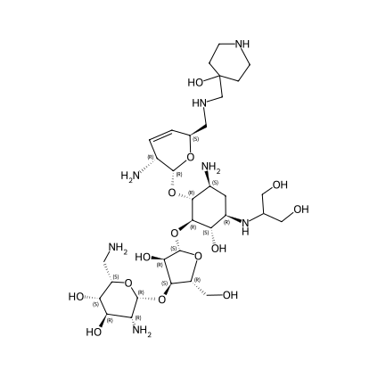 NC[C@@H]1O[C@H](O[C@H]2[C@@H](O)[C@H](O[C@@H]3[C@@H](O)[C@H](NC(CO)CO)C[C@H](N)[C@H]3O[C@H]3O[C@H](CNCC4(O)CCNCC4)C=C[C@H]3N)O[C@@H]2CO)[C@H](N)[C@@H](O)[C@@H]1O